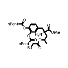 CCCCCC(=O)Oc1ccc(C[C@](N)(CC(C)OC(=O)CC(C)CC)C(=O)OC)cc1OC(=O)CCCCC